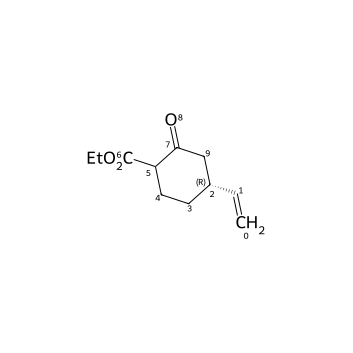 C=C[C@@H]1CCC(C(=O)OCC)C(=O)C1